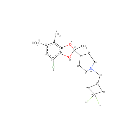 Cc1c(C(=O)O)cc(Cl)c2c1OC(C)(C1CCN(CC3CC(F)(F)C3)CC1)O2